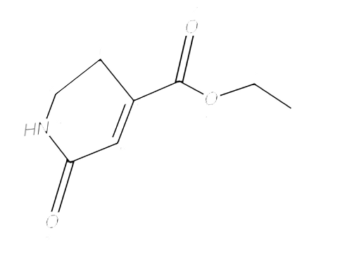 CCOC(=O)C1=CC(=O)NCC1